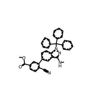 CNc1nn(C(c2ccccc2)(c2ccccc2)c2ccccc2)c2ccc(-c3cc(C(=O)OC)ccc3C#N)cc12